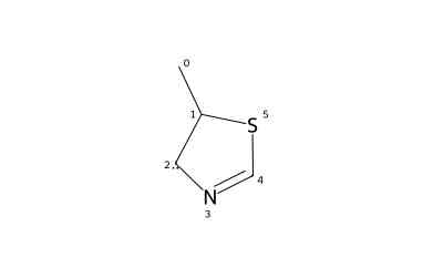 CC1[C]N=CS1